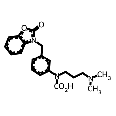 CN(C)CCCN(C(=O)O)c1cccc(Cn2c(=O)oc3ccccc32)c1